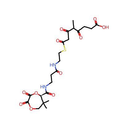 CC(C(=O)CCC(=O)O)C(=O)CC(=O)SCCNC(=O)CCNC(=O)[C@@H]1OC(=O)C(=O)OCC1(C)C